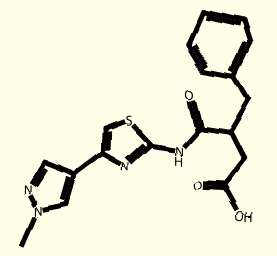 Cn1cc(-c2csc(NC(=O)C(CC(=O)O)Cc3ccccc3)n2)cn1